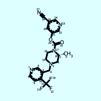 C[C@@H]1CN(Cc2cnccc2C(F)(F)F)CCN1C(=O)Oc1cncc(C#N)c1